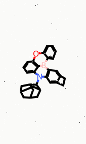 c1ccc2c(c1)Oc1cccc3c1B2c1cc2c(cc1N3C1C3CC4CC(C3)CC1C4)CC2